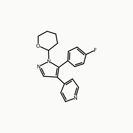 Fc1ccc(-c2c(-c3ccncc3)cnn2C2CCCCO2)cc1